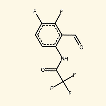 O=Cc1c(NC(=O)C(F)(F)F)ccc(F)c1F